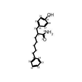 NC(=O)C(CCCCCc1ccccc1)Cc1ccc(O)cc1